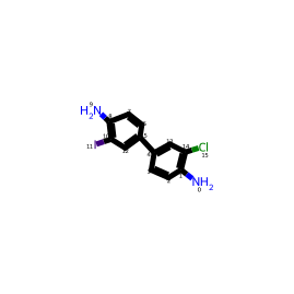 Nc1ccc(-c2ccc(N)c(I)c2)cc1Cl